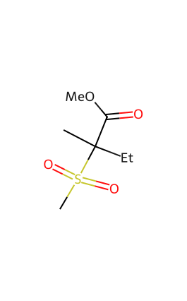 CCC(C)(C(=O)OC)S(C)(=O)=O